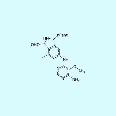 CCCCCC1NC(C=O)c2c(C)cc(Nc3ncnc(N)c3OC(F)(F)F)cc21